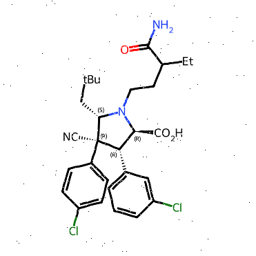 CCC(CCN1[C@@H](CC(C)(C)C)[C@](C#N)(c2ccc(Cl)cc2)[C@@H](c2cccc(Cl)c2)[C@@H]1C(=O)O)C(N)=O